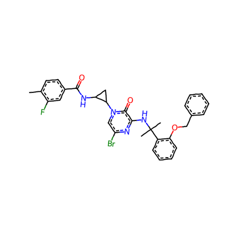 Cc1ccc(C(=O)NC2CC2n2cc(Br)nc(NC(C)(C)c3ccccc3OCc3ccccc3)c2=O)cc1F